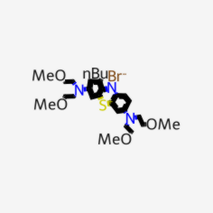 CCCCc1cc(N(CCOC)CCOC)cc2[s+]c3cc(N(CCOC)CCOC)ccc3nc12.[Br-]